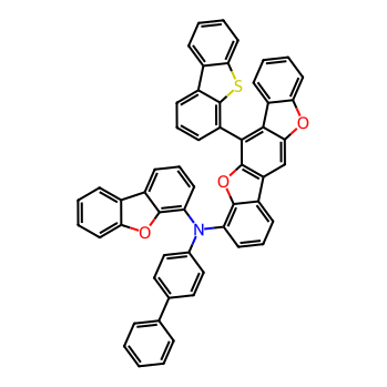 c1ccc(-c2ccc(N(c3cccc4c3oc3ccccc34)c3cccc4c3oc3c(-c5cccc6c5sc5ccccc56)c5c(cc34)oc3ccccc35)cc2)cc1